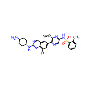 CCc1cc(-c2ncc(NS(=O)(=O)c3ccccc3C)nc2OC)cc2cnc(N[C@H]3CC[C@H](N)CC3)nc12